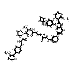 Cc1ncsc1-c1ccc(CNC(=O)[C@@H]2CCCN2C(=O)C(NC(=O)CCNC(=O)CCc2cccc(-c3ccc4nc(-c5cccnc5N)n(-c5ccc(C6(N)CCC6)cc5)c4n3)c2)C(C)(C)C)cc1